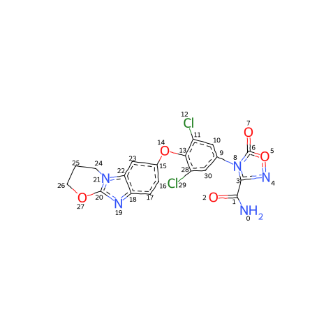 NC(=O)c1noc(=O)n1-c1cc(Cl)c(Oc2ccc3nc4n(c3c2)CCCO4)c(Cl)c1